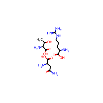 CC(O)C(N)C(=O)O.N=C(N)NCCCC(N)C(=O)O.NC(=O)CC(N)C(=O)O